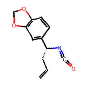 C=CC[C@@H](N=C=O)c1ccc2c(c1)OCO2